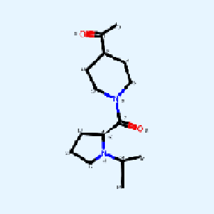 CC(=O)C1CCN(C(=O)[C@@H]2CCCN2C(C)C)CC1